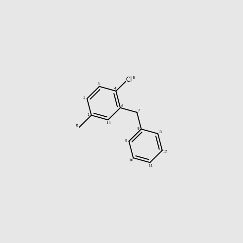 Cc1ccc(Cl)c(Cc2ccccc2)c1